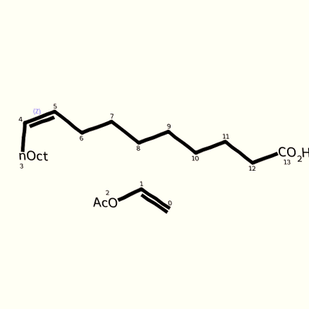 C=COC(C)=O.CCCCCCCC/C=C\CCCCCCCC(=O)O